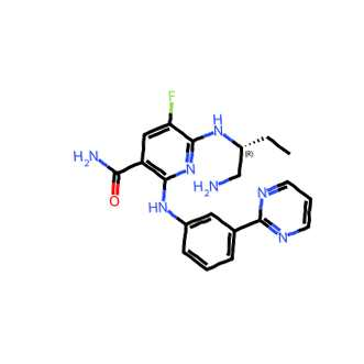 CC[C@H](CN)Nc1nc(Nc2cccc(-c3ncccn3)c2)c(C(N)=O)cc1F